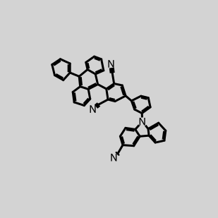 N#Cc1ccc2c(c1)c1ccccc1n2-c1cccc(-c2cc(C#N)c(-c3c4ccccc4c(-c4ccccc4)c4ccccc34)c(C#N)c2)c1